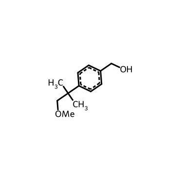 COCC(C)(C)c1ccc(CO)cc1